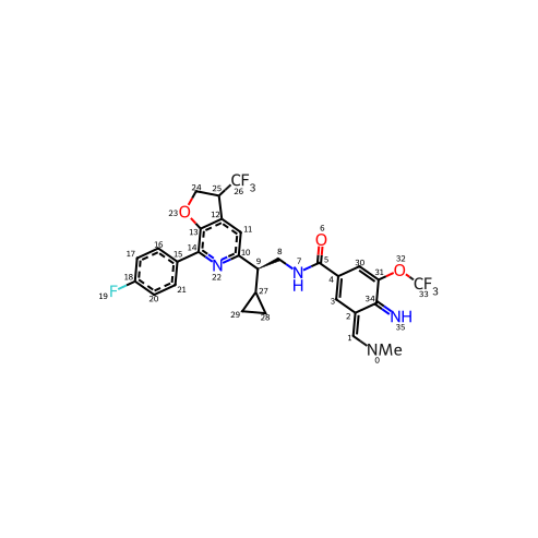 CN/C=C1/C=C(C(=O)NC[C@H](c2cc3c(c(-c4ccc(F)cc4)n2)OCC3C(F)(F)F)C2CC2)C=C(OC(F)(F)F)C1=N